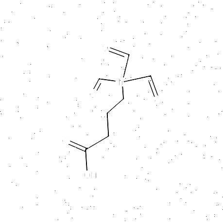 O=[CH][Ti]([CH]=O)([CH]=O)[CH2]CCC(=O)O